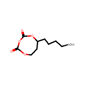 CCCCCCCCCCCCC1CCOC(=O)OC(=O)O1